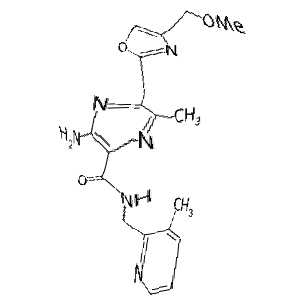 COCc1coc(-c2nc(N)c(C(=O)NCc3ncccc3C)nc2C)n1